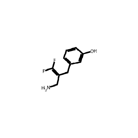 NCC(Cc1cccc(O)c1)=C(F)F